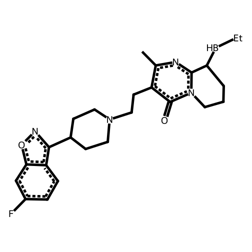 CCBC1CCCn2c1nc(C)c(CCN1CCC(c3noc4cc(F)ccc34)CC1)c2=O